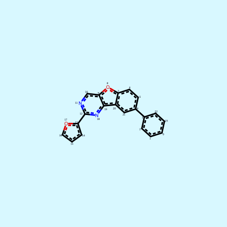 c1ccc(-c2ccc3oc4cnc(-c5ccco5)nc4c3c2)cc1